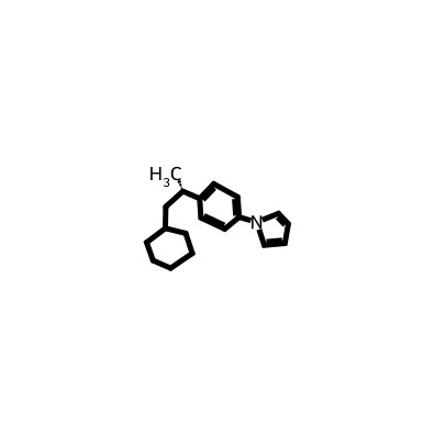 C[C@@H](CC1CCCCC1)c1ccc(-n2cccc2)cc1